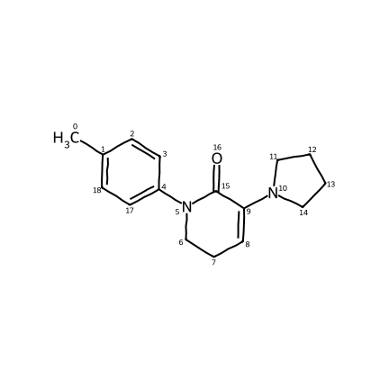 Cc1ccc(N2CCC=C(N3CCCC3)C2=O)cc1